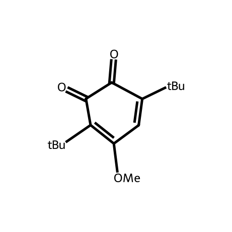 COC1=C(C(C)(C)C)C(=O)C(=O)C(C(C)(C)C)=C1